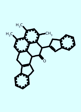 Cc1cc(C)c2c(C)cc3c4c2c1C(C1=Cc2ccccc2C1)C(=O)C4C1=C(C3)c2ccccc2C1